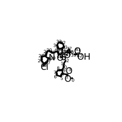 COC(=O)c1ccccc1CCCS(=O)(=O)C(C=Cc1ccc2ccc(Cl)cc2n1)(c1ccccc1)[C@@H]1C[C@@H]1CC(=O)O